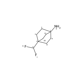 NC12CCC(C(F)F)(CC1)CC2